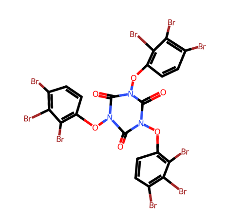 O=c1n(Oc2ccc(Br)c(Br)c2Br)c(=O)n(Oc2ccc(Br)c(Br)c2Br)c(=O)n1Oc1ccc(Br)c(Br)c1Br